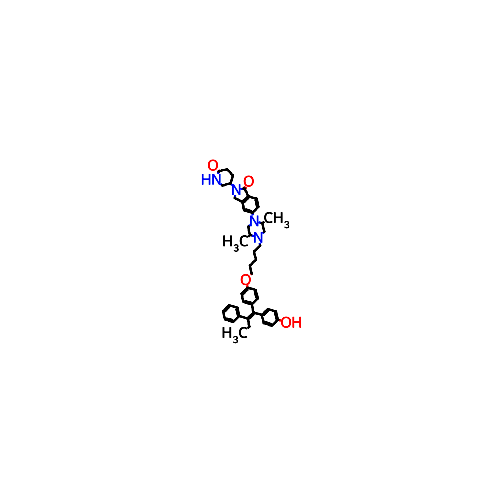 CC/C(=C(\c1ccc(O)cc1)c1ccc(OCCCCCN2CC(C)N(c3ccc4c(c3)CN(C3CCC(=O)NC3)C4=O)CC2C)cc1)c1ccccc1